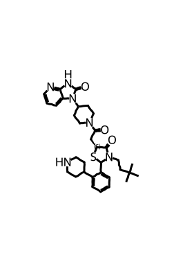 CC(C)(C)CCN1C(=O)[C@H](CC(=O)N2CCC(n3c(=O)[nH]c4ncccc43)CC2)SC1c1ccccc1C1CCNCC1